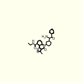 CCNC(=O)c1cccc2c1c1noc(C)c1c(=O)n2C1CCCC(C(N)C(=O)c2ccccc2)C1